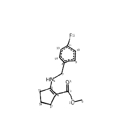 COC(=O)C1=C(NCc2ccc(F)cc2)CCC1